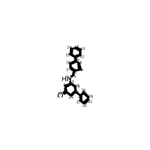 O=C1C=C(NCc2ccc(-c3ccccc3)cc2)CC(c2ccccc2)C1